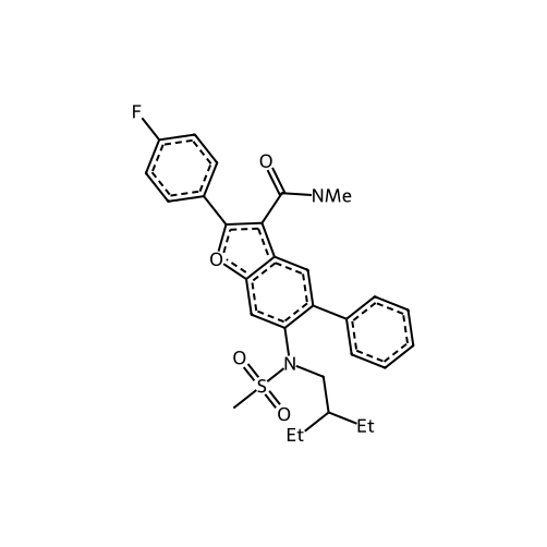 CCC(CC)CN(c1cc2oc(-c3ccc(F)cc3)c(C(=O)NC)c2cc1-c1ccccc1)S(C)(=O)=O